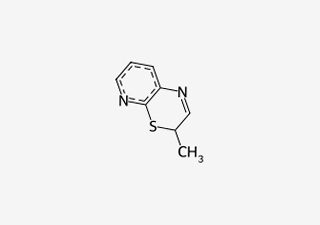 CC1C=Nc2cccnc2S1